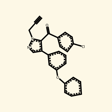 C#CCn1ncc(-c2cccc(Oc3ccccc3)c2)c1C(=O)c1ccc(Cl)cc1